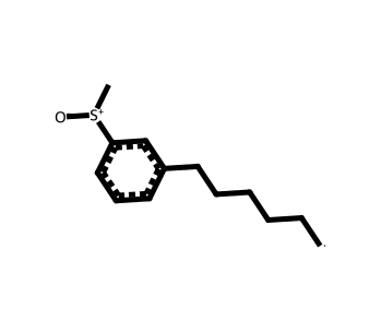 [CH2]CCCCCc1cccc([S+](C)[O-])c1